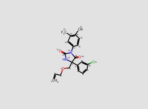 C=CCOCC1(c2cccc(Cl)c2)NC(=O)N(c2ccc(C#N)c(C(F)(F)F)c2)C1=O